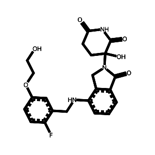 O=C1CCC(O)(N2Cc3c(NCc4cc(OCCO)ccc4F)cccc3C2=O)C(=O)N1